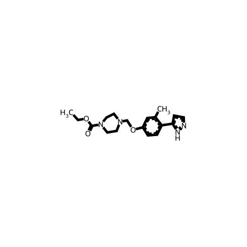 CCOC(=O)N1CCN(COc2ccc(-c3ccn[nH]3)c(C)c2)CC1